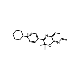 C=C/N=C1/OC(C)(C)C(C2=CC=[PH](C3CCCCC3)C=C2)=N/C1=C/C